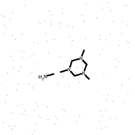 CN.CN1CN(C)CN(C)C1